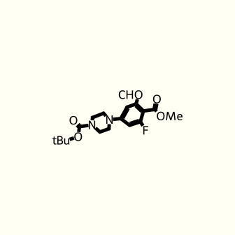 COC(=O)c1c(F)cc(N2CCN(C(=O)OC(C)(C)C)CC2)cc1C=O